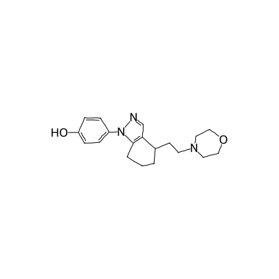 Oc1ccc(-n2ncc3c2CCCC3CCN2CCOCC2)cc1